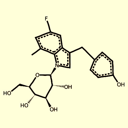 Cc1cc(F)cc2c(Cc3ccc(O)cc3)cn([C@@H]3O[C@H](CO)[C@@H](O)[C@H](O)[C@H]3O)c12